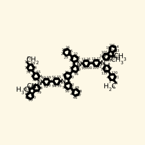 C=Cc1ccc(-c2ccc(N(c3ccc(-c4ccc(-n5c6ccc(C7=CC=CCC7)cc6c6cc(-c7ccc8c(c7)c7cc(-c9ccccc9)ccc7n8-c7ccc(-c8ccc(N(c9ccc(-c%10ccc(C=C)cc%10)cc9)c9ccc%10c(c9)C(C)(C)c9ccccc9-%10)cc8)cc7)ccc65)cc4)cc3)c3ccc4c(c3)C(C)(C)c3ccccc3-4)cc2)cc1